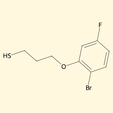 Fc1ccc(Br)c(OCCCS)c1